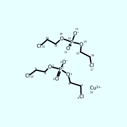 O=P([O-])(OCCCl)OCCCl.O=P([O-])(OCCCl)OCCCl.[Cu+2]